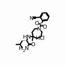 CC(C)C[C@H](NC1(C)CCCN(S(=O)(=O)c2ccccc2C#N)CC1)C(N)=O.Cl